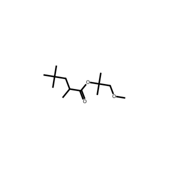 COCC(C)(C)OC(=O)C(C)CC(C)(C)C